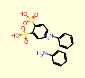 Nc1ccccc1.Nc1ccccc1.O=S(=O)(O)c1ccccc1S(=O)(=O)O